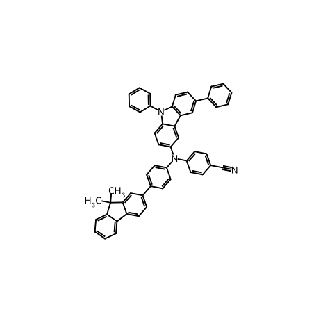 CC1(C)c2ccccc2-c2ccc(-c3ccc(N(c4ccc(C#N)cc4)c4ccc5c(c4)c4cc(-c6ccccc6)ccc4n5-c4ccccc4)cc3)cc21